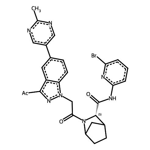 CC(=O)c1nn(CC(=O)N2C3CCC(C3)[C@H]2C(=O)Nc2cccc(Br)n2)c2ccc(-c3cnc(C)nc3)cc12